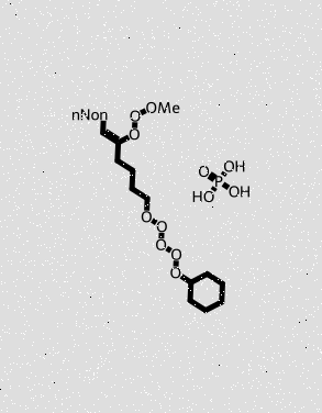 CCCCCCCCCC=C(CCCCOOOOOC1CCCCC1)OOOC.O=P(O)(O)O